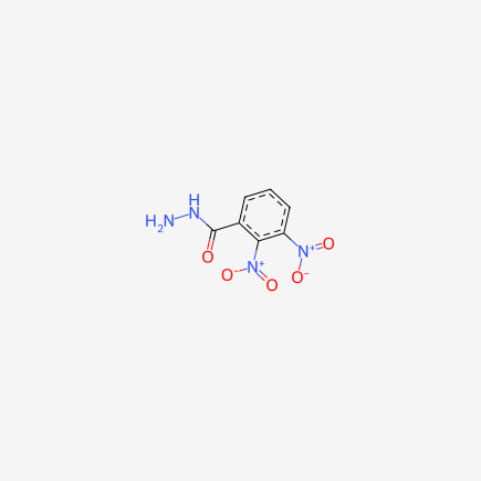 NNC(=O)c1cccc([N+](=O)[O-])c1[N+](=O)[O-]